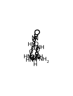 CNC(=O)OCc1ccc(NC(=O)[C@H](CC(N)=O)NC(=O)[C@H](C)NC(=O)[C@H](C)NC(=O)CCOCCOCCNC(=O)c2ccc3nc4c(nc3c2)CC2CCCCCCCC(C4)C2)cc1